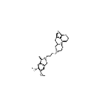 C=C1c2cc(OC)c(OC)cc2CN1CCCCN1CCN2C3=CCCc4scc(c43)CC2C1